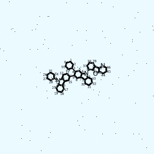 c1ccc(-c2cc3c(cc2-c2ccc4c(c2)c2ccccc2n4-c2ccccc2)c2ccccc2n3-c2cccc3c2oc2cccnc23)cc1